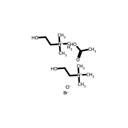 CC(=O)O.C[N+](C)(C)CCO.C[N+](C)(C)CCO.[Br-].[Cl-]